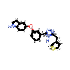 c1cc(Oc2ccc3[nH]ccc3c2)cc(-c2nnc(Cc3ccsc3)[nH]2)c1